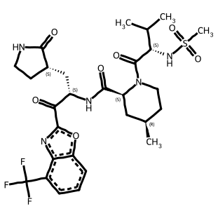 CC(C)[C@H](NS(C)(=O)=O)C(=O)N1CC[C@@H](C)C[C@H]1C(=O)N[C@@H](C[C@@H]1CCNC1=O)C(=O)c1nc2c(C(F)(F)F)cccc2o1